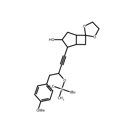 COc1ccc(CC(C#CC2C(O)CC3C2CC32OCCO2)O[Si](C)(C)C(C)(C)C)cc1